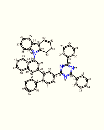 c1ccc(-c2ccc(-c3nc(-c4ccccc4)nc(-c4ccccc4)n3)cc2-c2cc(-n3c4c(c5ccccc53)C=CCC4)c3ccccc3c2)cc#1